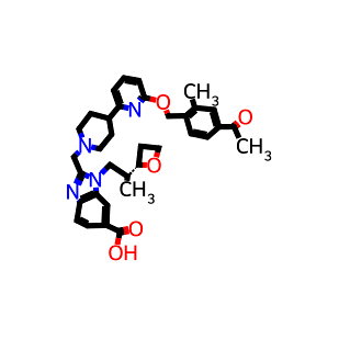 CC(=O)c1ccc(COc2cccc(C3CCN(Cc4nc5ccc(C(=O)O)cc5n4CC(C)[C@@H]4CCO4)CC3)n2)c(C)c1